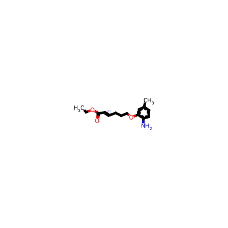 CCOC(=O)/C=C/CCCOc1cc(C)ccc1N